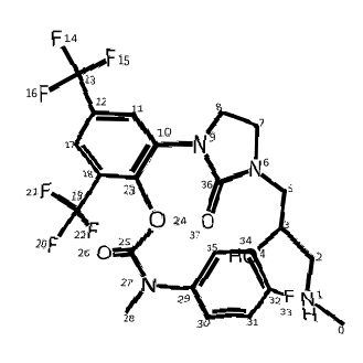 CNCC(O)CN1CCN(c2cc(C(F)(F)F)cc(C(F)(F)F)c2OC(=O)N(C)c2ccc(F)cc2)C1=O